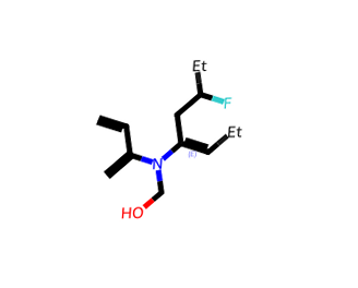 C=CC(=C)N(CO)/C(=C/CC)CC(F)CC